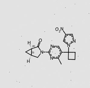 Cc1nc(N2C[C@H]3C[C@H]3C2=O)ncc1C1(n2cc([N+](=O)[O-])cn2)CCC1